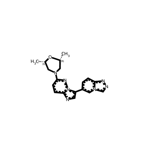 C[C@@H]1CN(c2ccc3ncc(-c4ccc5nncn5c4)n3n2)C[C@H](C)O1